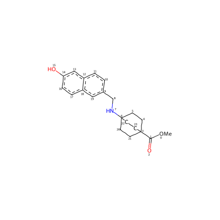 COC(=O)C12CCC(NCc3ccc4cc(O)ccc4c3)(CC1)CC2